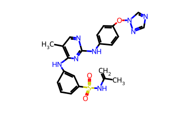 C=C(C)NS(=O)(=O)c1cccc(Nc2nc(Nc3ccc(On4cncn4)cc3)ncc2C)c1